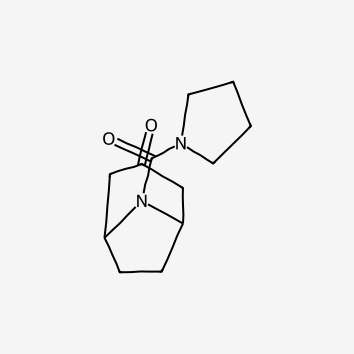 O=C1CC2CCC(C1)N2C(=O)N1CCCC1